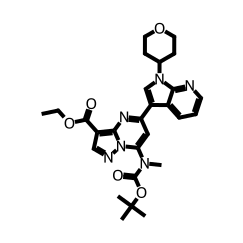 CCOC(=O)c1cnn2c(N(C)C(=O)OC(C)(C)C)cc(-c3cn(C4CCOCC4)c4ncccc34)nc12